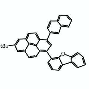 CC(C)(C)c1cc2ccc3c(-c4ccc5ccccc5c4)cc(-c4cccc5c4oc4ccccc45)c4ccc(c1)c2c34